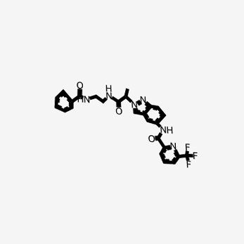 CC(C(=O)NCCNC(=O)c1ccccc1)n1cc2cc(NC(=O)c3cccc(C(F)(F)F)n3)ccc2n1